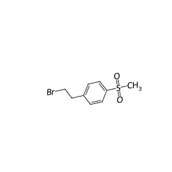 CS(=O)(=O)c1ccc(CCBr)cc1